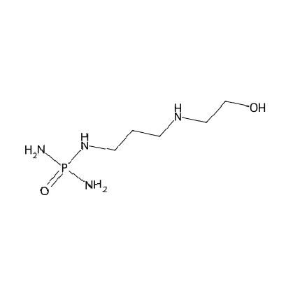 NP(N)(=O)NCCCNCCO